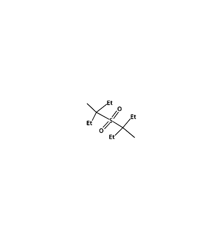 CCC(C)(CC)S(=O)(=O)C(C)(CC)CC